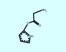 NCC(=O)Oc1ccc[nH]1